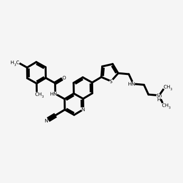 Cc1ccc(C(=O)Nc2c(C#N)cnc3cc(-c4ccc(CNC[CH2][SnH]([CH3])[CH3])s4)ccc23)c(C)c1